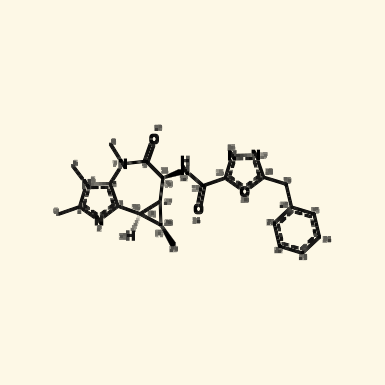 Cc1nc2c(n1C)N(C)C(=O)[C@@H](NC(=O)c1nnc(Cc3ccccc3)o1)C1[C@@H](C)[C@@H]21